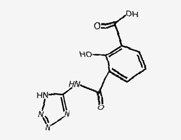 O=C(O)c1cccc(C(=O)Nc2nnn[nH]2)c1O